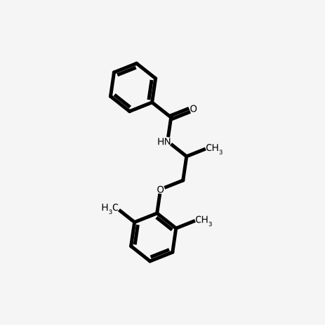 Cc1cccc(C)c1OCC(C)NC(=O)c1ccccc1